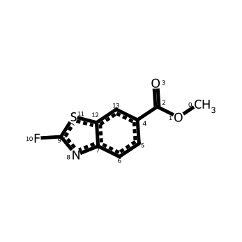 COC(=O)c1ccc2nc(F)sc2c1